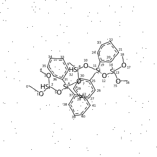 CO[SiH](OC)O[Si](O[SiH](C)O[Si](O[Si](C)(OC)OC)(c1ccccc1)c1ccccc1)(c1ccccc1)c1ccccc1